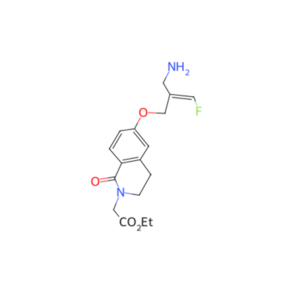 CCOC(=O)CN1CCc2cc(OC/C(=C\F)CN)ccc2C1=O